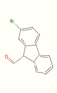 O=CC1c2ccccc2-c2ccc(Br)cc21